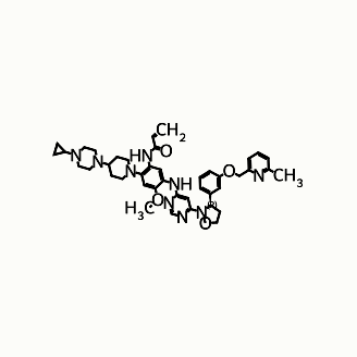 C=CC(=O)Nc1cc(Nc2cc(N3OCC[C@@H]3c3cccc(OCc4cccc(C)n4)c3)ncn2)c(OC)cc1N1CCC(N2CCN(C3CC3)CC2)CC1